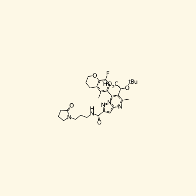 Cc1nc2cc(C(=O)NCCCN3CCCC3=O)nn2c(-c2cc(F)c3c(c2C)CCCO3)c1[C@H](OC(C)(C)C)C(=O)O